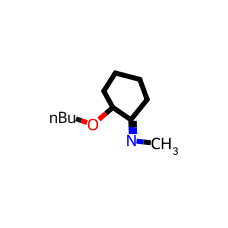 CCCCOC1CCCCC1=NC